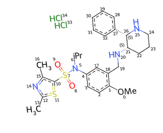 COc1ccc(N(C(C)C)S(=O)(=O)c2sc(C)nc2C)cc1CN[C@H]1CCCN[C@H]1c1ccccc1.Cl.Cl